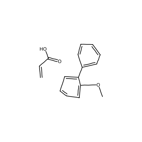 C=CC(=O)O.COc1ccccc1-c1ccccc1